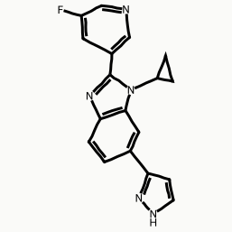 Fc1cncc(-c2nc3ccc(-c4cc[nH]n4)cc3n2C2CC2)c1